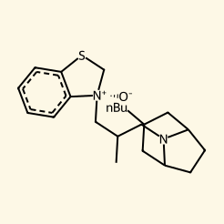 CCCCC1CC2CCC(C1)N2CC(C)C[N@+]1([O-])CSc2ccccc21